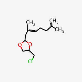 C=C(C)CCC=C(C)CC1OCC(CCl)O1